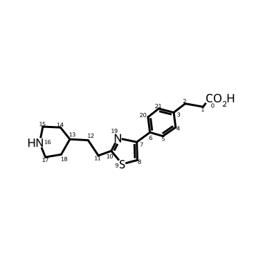 O=C(O)CCc1ccc(-c2csc(CCC3CCNCC3)n2)cc1